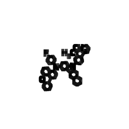 CC1(C)c2ccccc2-c2ccc(-n3c4ccc(N(c5ccc(F)cc5)c5ccc6c7c(cccc57)Oc5ccccc5-6)cc4c4cc5ccccc5cc43)cc21